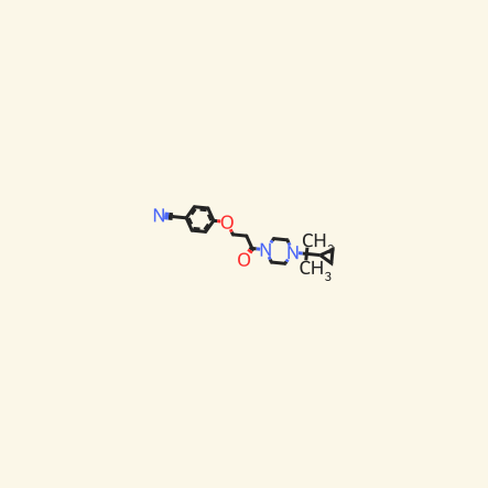 CC(C)(C1CC1)N1CCN(C(=O)CCOc2ccc(C#N)cc2)CC1